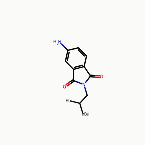 CCCCC(CC)CN1C(=O)c2ccc(N)cc2C1=O